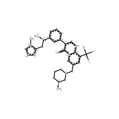 C[C@H]1CCCN(Cc2cc(C(F)(F)F)c3ncc(-c4cccc([C@H](C)Cc5nncn5C)c4)c(=O)n3c2)C1